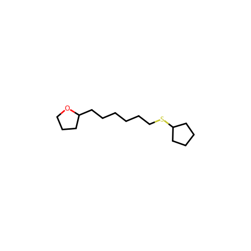 C(CCCC1CCCO1)CCSC1CCCC1